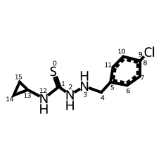 S=C(NNCc1ccc(Cl)cc1)NC1CC1